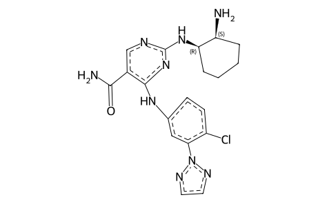 NC(=O)c1cnc(N[C@@H]2CCCC[C@@H]2N)nc1Nc1ccc(Cl)c(-n2nccn2)c1